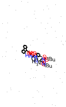 C[C@H](NC(=O)OCC1c2ccccc2-c2ccccc21)C(=O)Nc1cc(C[C@@H](C[C@H](C)C(=O)OC(C)(C)C)NC(=O)OC(C)(C)C)ccc1O